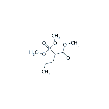 CCCC(C(=O)OC)P(=O)(OC)OC